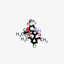 C=Cc1cc(Cl)cc(CC)c1C1=C(OC(=O)C(C)(C)C)[C@]2(CC[C@H](OC)CC2)NC1=O